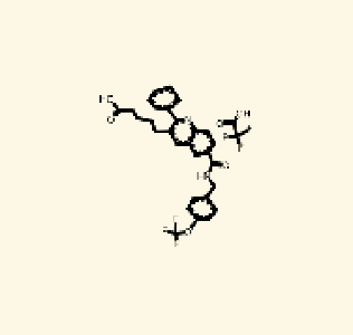 O=C(O)C(F)(F)F.O=C(O)CCCCc1cc2cc(C(=O)NCc3ccc(OC(F)(F)F)cc3)ccc2nc1-c1ccccc1